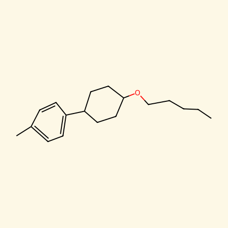 CCCCCOC1CCC(c2ccc(C)cc2)CC1